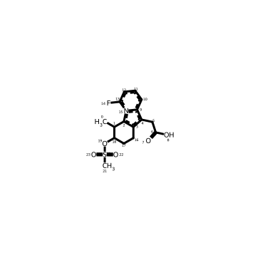 CC1c2c(c(CC(=O)O)c3cccc(F)n23)CCC1OS(C)(=O)=O